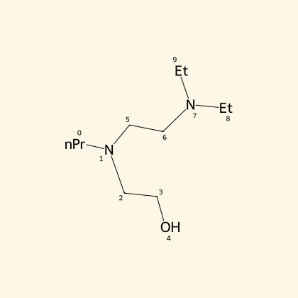 CCCN(CCO)CCN(CC)CC